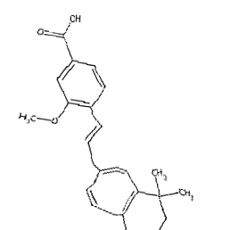 COc1cc(C(=O)O)ccc1C=Cc1ccc2c(c1)C(C)(C)CCO2